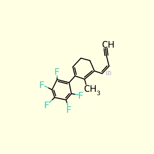 C#C/C=C\C1=C(C)C(c2c(F)c(F)c(F)c(F)c2F)=CCC1